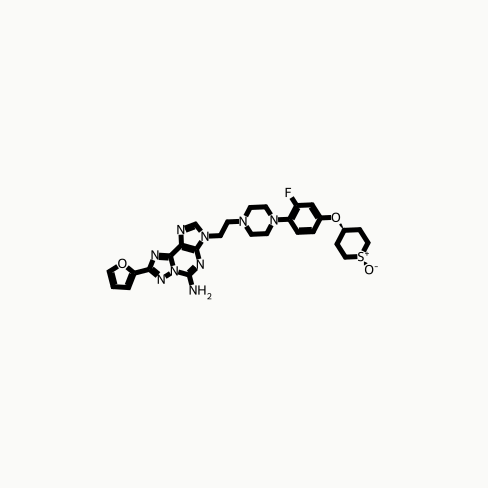 Nc1nc2c(ncn2CCN2CCN(c3ccc(O[C@H]4CC[S@+]([O-])CC4)cc3F)CC2)c2nc(-c3ccco3)nn12